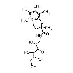 Cc1c(C)c2c(c(C)c1O)CCC(C)(C(=O)NCC(O)C(O)C(O)C(O)CO)O2